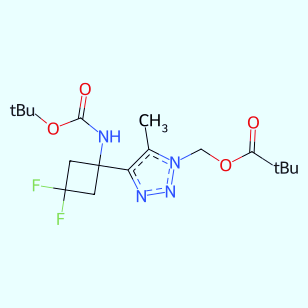 Cc1c(C2(NC(=O)OC(C)(C)C)CC(F)(F)C2)nnn1COC(=O)C(C)(C)C